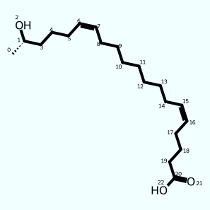 C[C@H](O)CCC/C=C\CCCCCCC/C=C\CCCC(=O)O